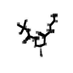 C[C@H](CNC(=O)OC(C)(C)C)CC(=O)NCCS